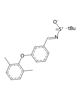 Cc1cccc(C)c1Oc1cccc(C=N[S@+]([O-])C(C)(C)C)c1